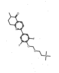 CC1CCc2nc(-c3cc(F)c(OCOCC[Si](C)(C)C)c(F)c3)ccc2C1=O